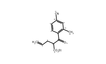 C=CCC(C(=O)OCC)C(=O)c1ccc(C#N)cc1C